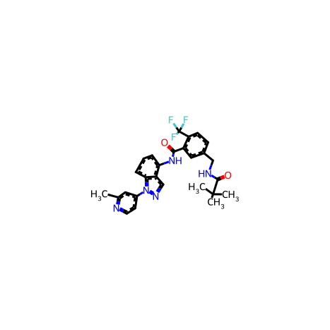 Cc1cc(-n2ncc3c(NC(=O)c4cc(CNC(=O)C(C)(C)C)ccc4C(F)(F)F)cccc32)ccn1